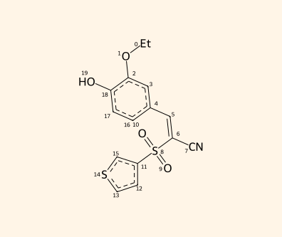 CCOc1cc(/C=C(/C#N)S(=O)(=O)c2ccsc2)ccc1O